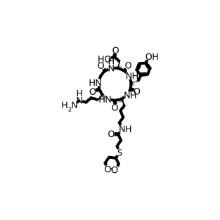 NNCCC[C@@H]1NC(=O)[C@H](CCCCNC(=O)CCSC2CCOOC2)NC(=O)[C@@H](Cc2ccc(O)cc2)NC(=O)[C@H](CC(=O)O)NC(=O)CNC1=O